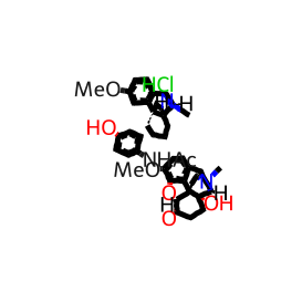 CC(=O)Nc1ccc(O)cc1.COc1ccc2c(c1)[C@]13CCCC[C@@H]1[C@H](C2)N(C)CC3.COc1ccc2c3c1O[C@H]1C(=O)CC[C@@]4(O)[C@@H](C2)N(C)CC[C@]314.Cl